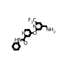 NCc1cc(Oc2ccnc(C(=O)Nc3ccccc3)c2)nc(C(F)(F)F)c1